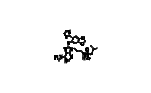 CC(C)CS(=O)(=O)NCCCn1c(Sc2cc3c(cc2-c2nccs2)OCO3)nc2c(N)ncnc21